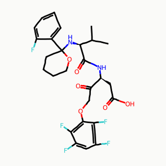 CC(C)[C@H](NC1(c2ccccc2F)CCCCO1)C(=O)N[C@@H](CC(=O)O)C(=O)COc1c(F)c(F)cc(F)c1F